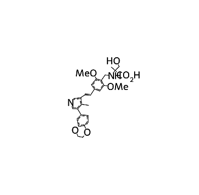 COc1cc(C=Cc2cncc(-c3ccc4c(c3)OCCO4)c2C)cc(OC)c1CNC(C)(CO)C(=O)O